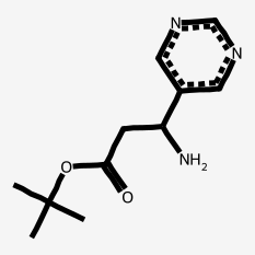 CC(C)(C)OC(=O)CC(N)c1cncnc1